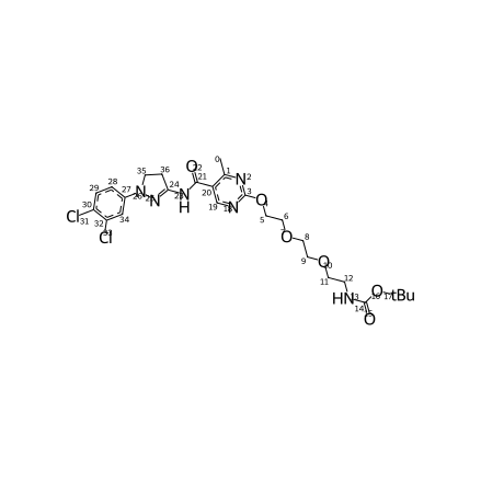 Cc1nc(OCCOCCOCCNC(=O)OC(C)(C)C)ncc1C(=O)NC1=NN(c2ccc(Cl)c(Cl)c2)CC1